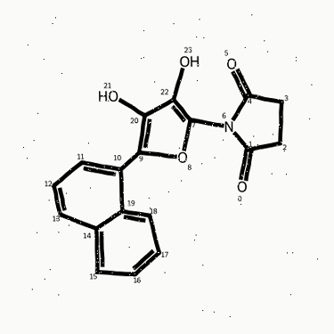 O=C1CCC(=O)N1c1oc(-c2cccc3ccccc23)c(O)c1O